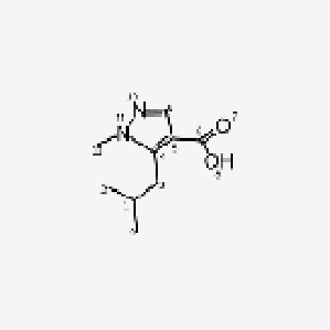 CC(C)Cc1c(C(=O)O)cnn1C